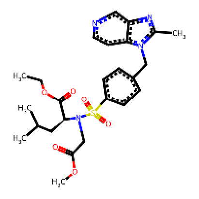 CCOC(=O)[C@H](CC(C)C)N(CC(=O)OC)S(=O)(=O)c1ccc(Cn2c(C)nc3cnccc32)cc1